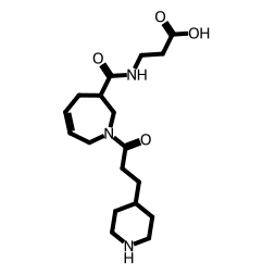 O=C(O)CCNC(=O)C1CC=CCN(C(=O)CCC2CCNCC2)C1